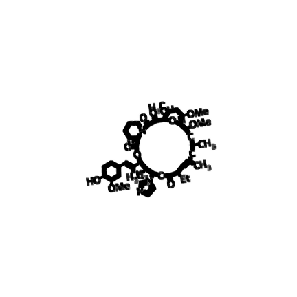 CC[C@@H]1/C=C(\C)C[C@H](C)C[C@H](OC)[C@H]2O[C@@](O)(C(=O)C(=O)N3CCCC[C@H]3C(=O)O[C@H](/C(C)=C/[C@@H]3CC[C@@H](O)[C@H](OC)C3)[C@H](C)C(n3ccnc3)CC1=O)[C@H](C)C[C@@H]2OC